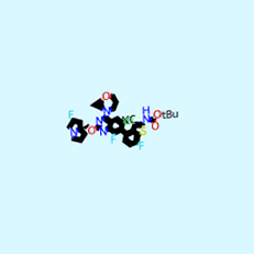 CC(C)(C)OC(=O)Nc1sc2c(F)ccc(-c3c(Cl)cc4c(N5CCCOC6CC65)nc(OC[C@@]56CCCN5C[C@H](F)C6)nc4c3F)c2c1C#N